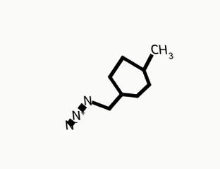 CC1CCC(CN=[N+]=[N-])CC1